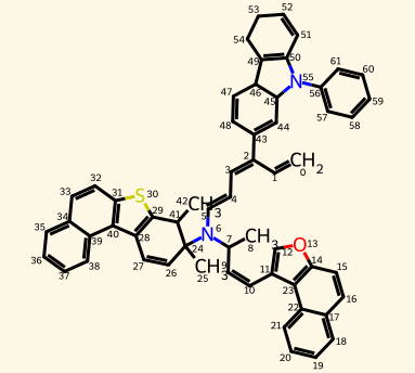 C=C/C(=C\C=C\N(C(C)/C=C\c1coc2ccc3ccccc3c12)C1(C)C=Cc2c(sc3ccc4ccccc4c23)C1C)C1=CC2C(C=C1)C1=C(C=CCC1)N2c1ccccc1